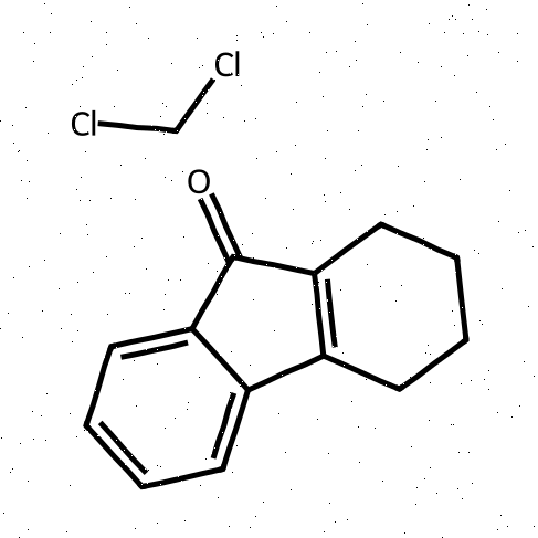 ClCCl.O=C1C2=C(CCCC2)c2ccccc21